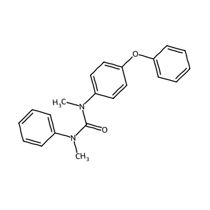 CN(C(=O)N(C)c1ccc(Oc2ccccc2)cc1)c1ccccc1